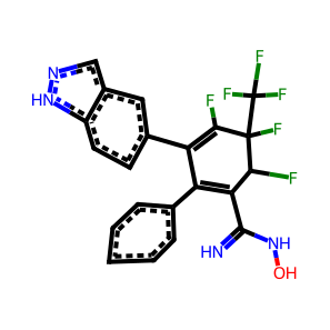 N=C(NO)C1=C(c2ccccc2)C(c2ccc3[nH]ncc3c2)=C(F)C(F)(C(F)(F)F)C1F